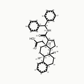 O=C(O)C[C@]12CC[C@@H]3c4ccccc4CC[C@H]3[C@@H]1CCC2C(=O)NC(c1ccccc1)c1ccccc1